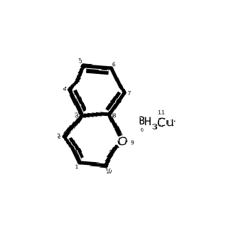 B.C1=Cc2ccccc2OC1.[Cu]